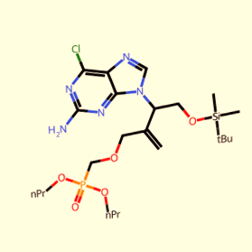 C=C(COCP(=O)(OCCC)OCCC)C(CO[Si](C)(C)C(C)(C)C)n1cnc2c(Cl)nc(N)nc21